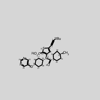 CC(C)(C)C#Cc1cc(N(C(=O)[C@H]2CC[C@H](C)CC2)[C@H]2CC[C@@H](Oc3cncnc3)CC2)c(C(=O)O)s1